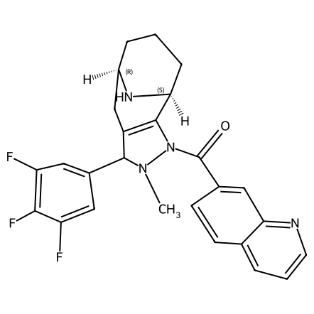 CN1C(c2cc(F)c(F)c(F)c2)C2=C([C@@H]3CCC[C@H](C2)N3)N1C(=O)c1ccc2cccnc2c1